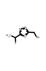 CC(C)Cc1nnc(C(C)F)o1